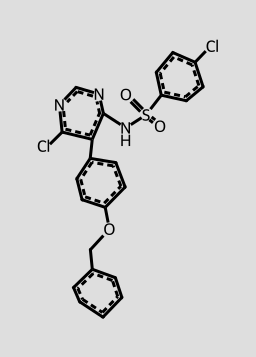 O=S(=O)(Nc1ncnc(Cl)c1-c1ccc(OCc2ccccc2)cc1)c1ccc(Cl)cc1